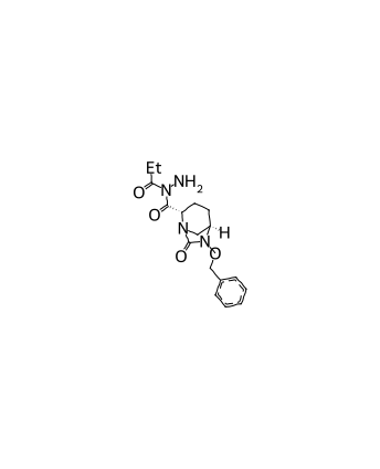 CCC(=O)N(N)C(=O)[C@@H]1CC[C@@H]2CN1C(=O)N2OCc1ccccc1